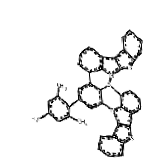 Cc1cc(C)c(-c2cc3c4c(c2)-n2c5c(cccc5c5sc6ccccc6c52)B4n2c4oc5ccccc5c4c4cccc-3c42)c(C)c1